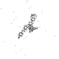 NCc1cccc(C2CCN(C(=O)c3cccc(CCc4ccc(F)cc4)c3)CC2)c1.O=C(O)C(F)(F)F